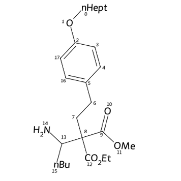 CCCCCCCOc1ccc(CCC(C(=O)OC)(C(=O)OCC)C(N)CCCC)cc1